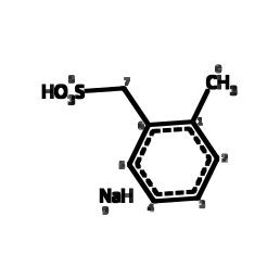 Cc1ccccc1CS(=O)(=O)O.[NaH]